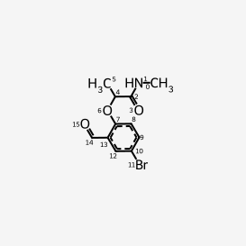 CNC(=O)C(C)Oc1ccc(Br)cc1C=O